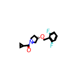 O=C(C1CC1)N1CC[C@H](OCc2c(F)cccc2F)C1